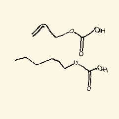 C=CCOC(=O)O.CCCCCOC(=O)O